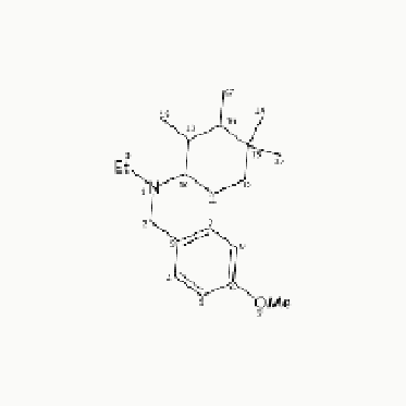 CCN(Cc1ccc(OC)cc1)C1CCC(C)(C)C(C)C1C